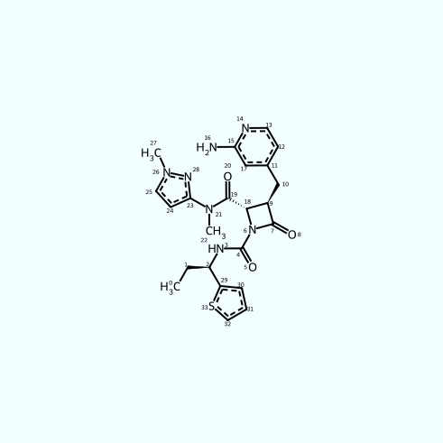 CC[C@@H](NC(=O)N1C(=O)[C@H](Cc2ccnc(N)c2)[C@H]1C(=O)N(C)c1ccn(C)n1)c1cccs1